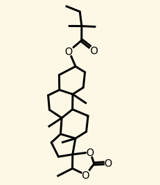 CCC(C)(C)C(=O)OC1CCC2(C)C(CCC3(C)C2CCC2(C)C3CCC23OC(=O)OC3C)C1